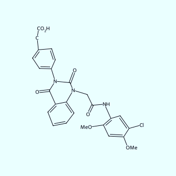 COc1cc(OC)c(NC(=O)Cn2c(=O)n(-c3ccc(CC(=O)O)cc3)c(=O)c3ccccc32)cc1Cl